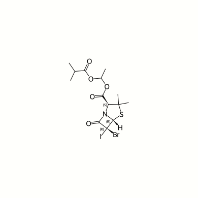 CC(OC(=O)C(C)C)OC(=O)[C@@H]1N2C(=O)[C@@](Br)(I)[C@H]2SC1(C)C